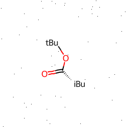 CC[C@@H](C)C(=O)OC(C)(C)C